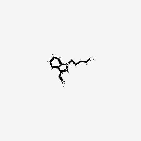 O=Cc1nn(CCCCCl)c2ccccc12